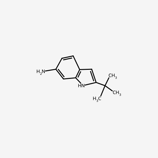 CC(C)(C)c1cc2ccc(N)cc2[nH]1